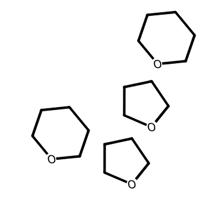 C1CCOC1.C1CCOC1.C1CCOCC1.C1CCOCC1